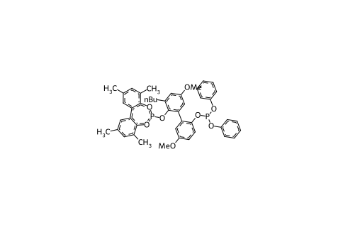 CCCCc1cc(OC)cc(-c2cc(OC)ccc2OP(Oc2ccccc2)Oc2ccccc2)c1Op1oc2c(C)cc(C)cc2c2cc(C)cc(C)c2o1